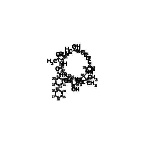 CC(C)C1NC(=O)[C@@H](Cc2ccc(-c3ccccc3)cc2)NC(=O)[C@@H]2C[C@@H](O)CN2C(=O)C(C(C)(C)C)n2cc(nn2)COCCNC(=O)CNC1=O